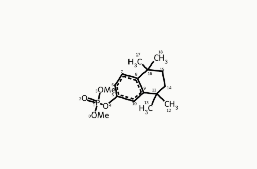 COP(=O)(OC)Oc1ccc2c(c1)C(C)(C)CCC2(C)C